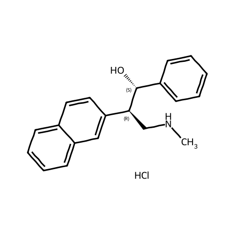 CNC[C@@H](c1ccc2ccccc2c1)[C@H](O)c1ccccc1.Cl